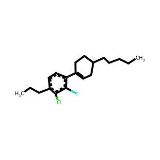 CCCCCC1CC=C(c2ccc(CCC)c(Cl)c2F)CC1